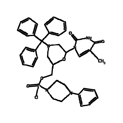 Cc1cn(C2CN(C(c3ccccc3)(c3ccccc3)c3ccccc3)CC(COP(=O)(Cl)N3CCN(c4ccccc4)CC3)O2)c(=O)[nH]c1=O